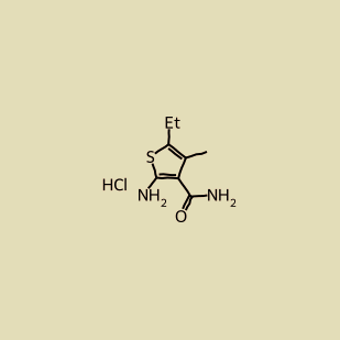 CCc1sc(N)c(C(N)=O)c1C.Cl